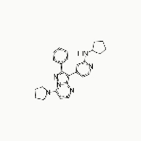 c1ccc(-c2nn3c(N4CCCC4)ccnc3c2-c2ccnc(NC3CCCC3)c2)cc1